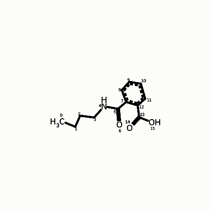 CCCCNC(=O)c1ccccc1C(=O)O